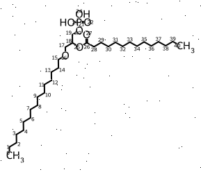 CCCCCCCCCCCCCCCCOCC(COP(=O)(O)O)OC(=O)CCCCCCCCCCCCC